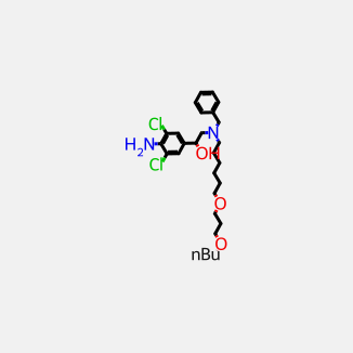 CCCCOCCCOCCCCCCN(Cc1ccccc1)CC(O)c1cc(Cl)c(N)c(Cl)c1